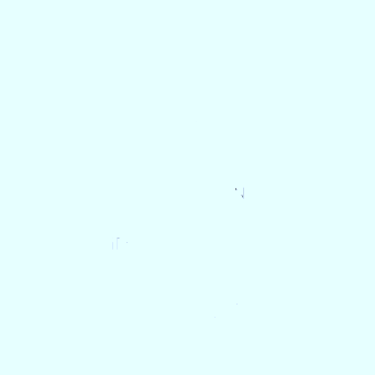 Cc1cc2c(c(-c3nccc4c(C5CC5)cc(C(C)C)cc34)c1)Cc1ccccc1-2